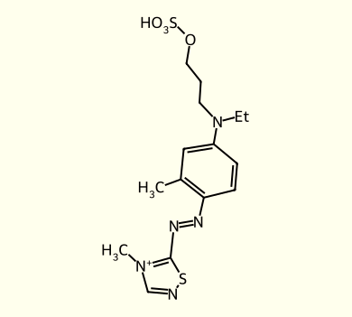 CCN(CCCOS(=O)(=O)O)c1ccc(N=Nc2snc[n+]2C)c(C)c1